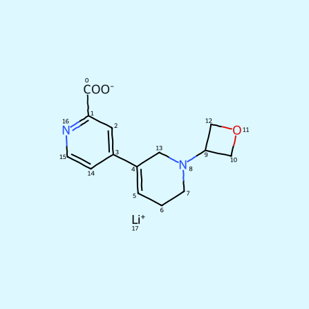 O=C([O-])c1cc(C2=CCCN(C3COC3)C2)ccn1.[Li+]